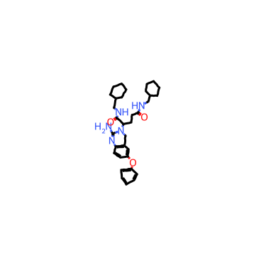 NC1=Nc2ccc(Oc3ccccc3)cc2CN1C(CCC(=O)NCC1CCCCC1)C(=O)NCC1CCCCC1